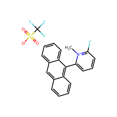 C[n+]1c(F)cccc1-c1c2ccccc2cc2ccccc12.O=S(=O)([O-])C(F)(F)F